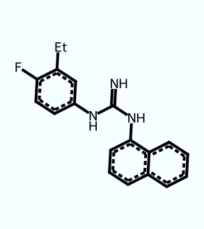 CCc1cc(NC(=N)Nc2cccc3ccccc23)ccc1F